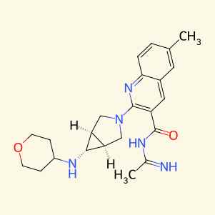 CC(=N)NC(=O)c1cc2cc(C)ccc2nc1N1C[C@@H]2[C@H](C1)[C@H]2NC1CCOCC1